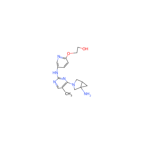 Cc1cnc(Nc2ccc(OCCO)nc2)nc1N1CC2CC2(N)C1